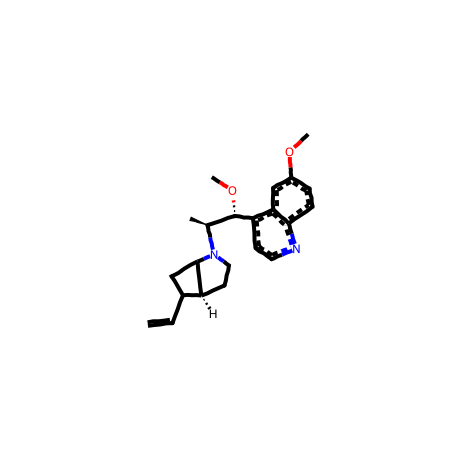 C=CC1CC2[C@H]1CCN2[C@@H](C)[C@H](OC)c1ccnc2ccc(OC)cc12